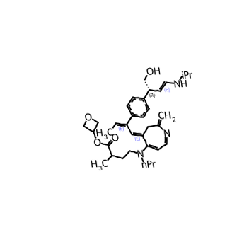 C=C1C/C(=C\C(=C/C)c2ccc([C@@H](/C=C/NC(C)C)CO)cc2)C(N(CCC)CCC(C)C(=O)OC2COC2)=CC=N1